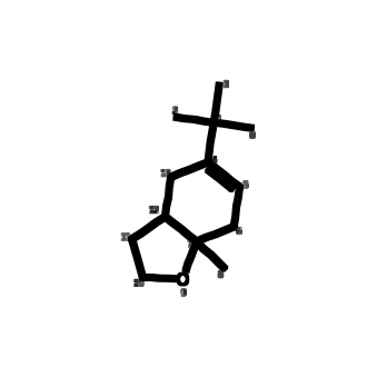 CC(C)(C)C1=CCC2(C)OCCC2C1